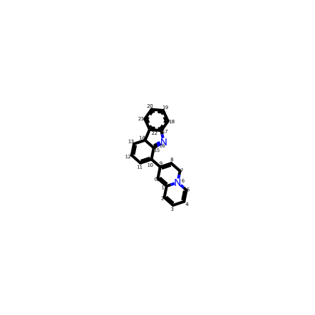 [C]1=C2C=CC=CN2CC=C1C1=CC=CC2C1=Nc1ccccc12